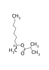 CCCCCCC[C@H](C)OC(=O)C(C)C